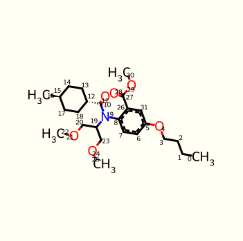 CCCCOc1ccc(N(C(=O)[C@H]2CC[C@H](C)CC2)C(COC)COC)c(C(=O)OC)c1